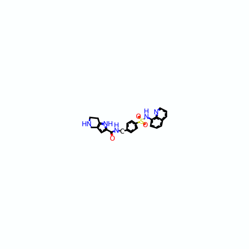 O=C(NCc1ccc(S(=O)(=O)Nc2cccc3cccnc23)cc1)c1cc2c([nH]1)CCNC2